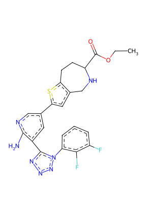 CCOC(=O)C1CCc2sc(-c3cnc(N)c(-c4nnnn4-c4cccc(F)c4F)c3)cc2CN1